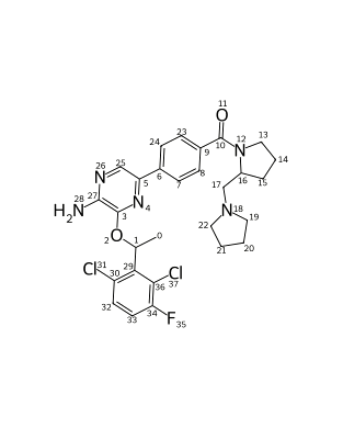 CC(Oc1nc(-c2ccc(C(=O)N3CCCC3CN3CCCC3)cc2)cnc1N)c1c(Cl)ccc(F)c1Cl